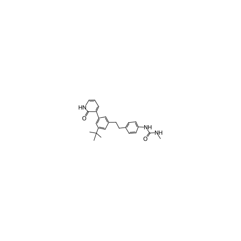 CNC(=O)Nc1ccc(CCc2cc(-c3ccc[nH]c3=O)cc(C(C)(C)C)c2)cc1